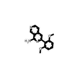 COc1cccc(OC)c1-c1cc2ccncc2c(N)n1